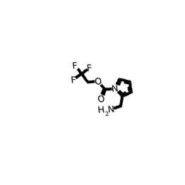 NCc1cccn1C(=O)OCC(F)(F)F